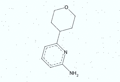 Nc1cccc(C2CCOCC2)n1